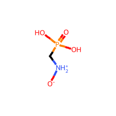 O=P(O)(O)C[NH2+][O-]